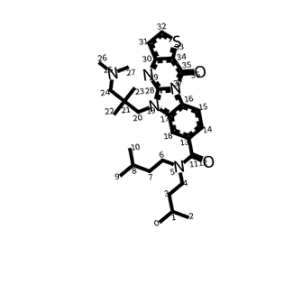 CC(C)CCN(CCC(C)C)C(=O)c1ccc2c(c1)n(CC(C)(C)CN(C)C)c1nc3ccsc3c(=O)n21